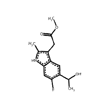 COC(=O)Cc1c(C)[nH]c2cc(F)c(C(C)O)cc12